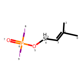 CC(C)=C[SiH2]OP(=O)(I)I